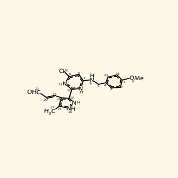 COc1ccc(CNc2cc(Cl)nc(-c3n[nH]c(C)c3C=CC=O)n2)cc1